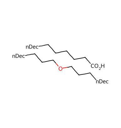 CCCCCCCCCCCCCCCC(=O)O.CCCCCCCCCCCCCOCCCCCCCCCCCCC